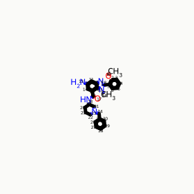 COc1ccccc1-c1nc2cc(N)cc(C(=O)NC3CCCN(Cc4ccccc4)C3)c2n1C